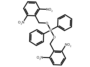 O=[N+]([O-])c1cccc([N+](=O)[O-])c1CO[Si](OCc1c([N+](=O)[O-])cccc1[N+](=O)[O-])(c1ccccc1)c1ccccc1